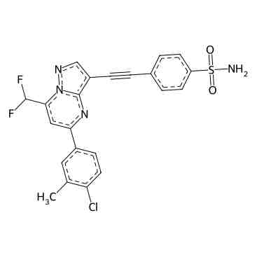 Cc1cc(-c2cc(C(F)F)n3ncc(C#Cc4ccc(S(N)(=O)=O)cc4)c3n2)ccc1Cl